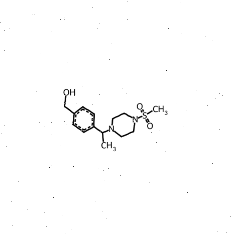 CC(c1ccc(CO)cc1)N1CCN(S(C)(=O)=O)CC1